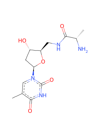 Cc1cn([C@H]2C[C@H](O)[C@@H](CNC(=O)[C@H](C)N)O2)c(=O)[nH]c1=O